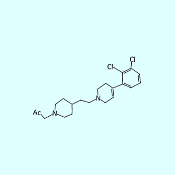 CC(=O)CN1CCC(CCN2CC=C(c3cccc(Cl)c3Cl)CC2)CC1